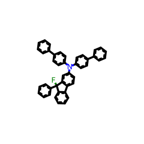 FC1(c2ccccc2)c2ccccc2-c2ccc(N(c3ccc(-c4ccccc4)cc3)c3ccc(-c4ccccc4)cc3)cc21